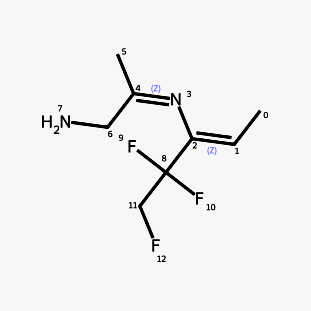 C/C=C(\N=C(\C)CN)C(F)(F)CF